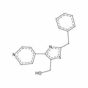 OCc1sc(Cc2ccccc2)nc1-c1ccncc1